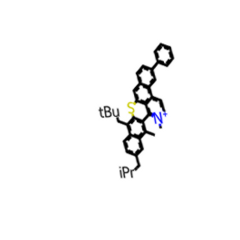 Cc1c2c(c(CC(C)(C)C)c3ccc(CC(C)C)cc13)Sc1cc3ccc(-c4ccccc4)cc3c3cc[n+](C)c-2c13